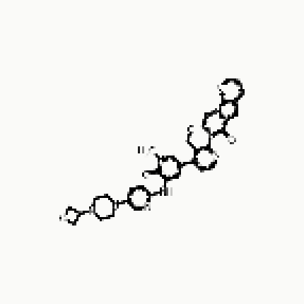 Cn1cc(-c2ccnc(-n3ccn4c(cc5cccnc54)c3=O)c2CO)cc(Nc2ccc(N3CCN(C4COC4)CC3)cn2)c1=O